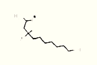 CCCCCCCCC(C)(C)CC(C)P=O